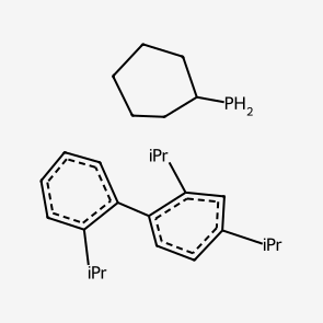 CC(C)c1ccc(-c2ccccc2C(C)C)c(C(C)C)c1.PC1CCCCC1